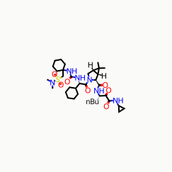 CCCC[C@H](NC(=O)[C@@H]1[C@@H]2[C@H](CN1C(=O)[C@@H](NC(=O)NC1(CS(=O)(=O)N(C)C)CCCCC1)C1CCCCC1)C2(C)C)C(=O)C(=O)NC1CC1